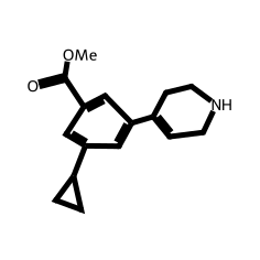 COC(=O)c1cc(C2=CCNCC2)cc(C2CC2)c1